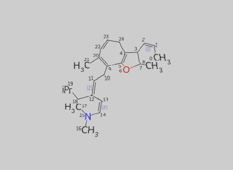 C/C=C\C1C2=C(OC1C)C(C/C=C(\C=C/N(C)C)CC(C)C)=C(C)C=CC2